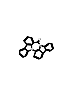 O=c1c2cccc3c4ccccc4n(c4cccc5c6ccccc6n1c54)c23